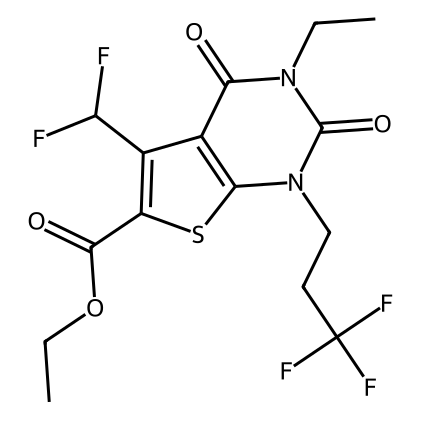 CCOC(=O)c1sc2c(c1C(F)F)c(=O)n(CC)c(=O)n2CCC(F)(F)F